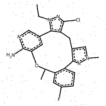 CCn1nc(Cl)c2c1-c1cnc(N)c(c1)OC(C)c1cc(F)ccc1-c1nn(C)cc1C2